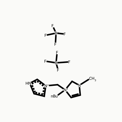 CCCC[N+]1(C[n+]2cc[nH]c2)C=CN(C)C1.F[B-](F)(F)F.F[B-](F)(F)F